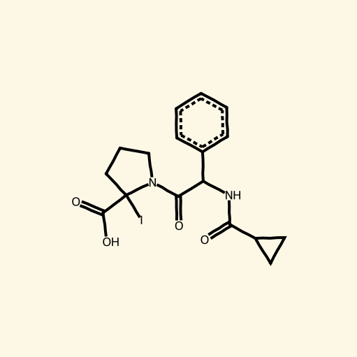 O=C(NC(C(=O)N1CCCC1(I)C(=O)O)c1ccccc1)C1CC1